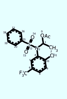 CC(=O)OC(C)N(c1cc(C(F)(F)F)ccc1Cl)S(=O)(=O)c1ccccc1